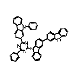 C1=c2c(n(-c3ccccc3)c3ccccc23)=CC(c2nc(-c3ccccc3)nc(-n3c4ccccc4c4cc(-c5ccc6c(c5)oc5ccccc56)ccc43)n2)C1